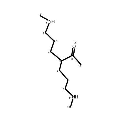 CNCCCC(CCCNC)C(C)=O